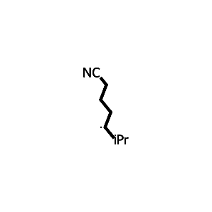 CC(C)[CH]CCCC#N